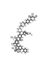 COc1cc(N2CCC(CN3CCN(c4ccc(N5CCC(=O)NC5=O)cc4)CC3)CC2)c(-c2cnn(C)c2)cc1Nc1ncc(Cl)c(Nc2ccc(-c3ccccc3)cc2P(C)(C)=O)n1